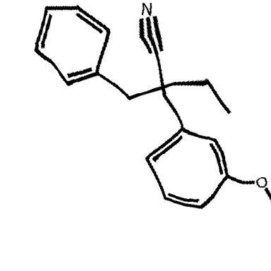 CCC(C#N)(Cc1ccccc1)c1cccc(OC)c1